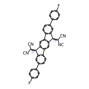 [C-]#[N+]/C(C#N)=C1/c2cc(-c3ccc(F)cc3)ccc2-c2cc3c(cc21)-c1ccc(-c2ccc(F)cc2)cc1/C3=C(/C#N)[N+]#[C-]